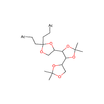 CC(=O)CCC1(CCC(C)=O)OCC(C2OC(C)(C)OC2C2COC(C)(C)O2)O1